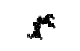 COc1cc(OC)nc(Oc2ccccc2CNc2ccc(C(=O)OC(C)C)cc2)n1